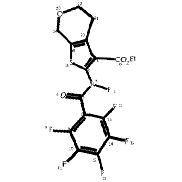 CCOC(=O)c1c(N(F)C(=O)c2c(F)c(F)c(F)c(F)c2F)sc2c1CCOC2